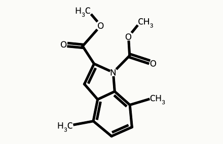 COC(=O)c1cc2c(C)ccc(C)c2n1C(=O)OC